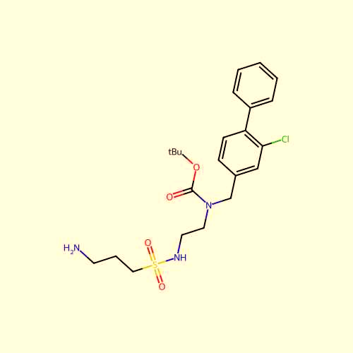 CC(C)(C)OC(=O)N(CCNS(=O)(=O)CCCN)Cc1ccc(-c2ccccc2)c(Cl)c1